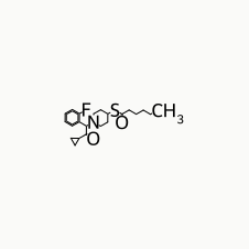 CCCCCC(=O)SC1CCN(C(C(=O)C2CC2)c2ccccc2F)CC1